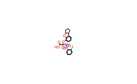 O=C(O)C(O)(NS(=O)(=O)c1ccccc1F)Oc1cccc2c1OC1CCCC21